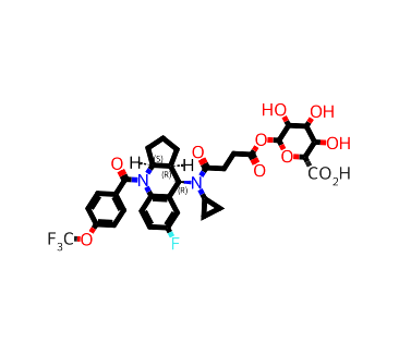 O=C(CCC(=O)N(C1CC1)[C@H]1c2cc(F)ccc2N(C(=O)c2ccc(OC(F)(F)F)cc2)[C@H]2CCC[C@H]21)OC1OC(C(=O)O)C(O)C(O)C1O